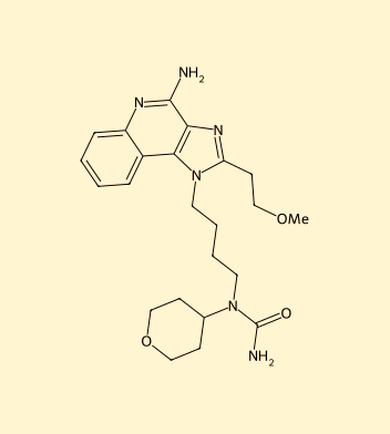 COCCc1nc2c(N)nc3ccccc3c2n1CCCCN(C(N)=O)C1CCOCC1